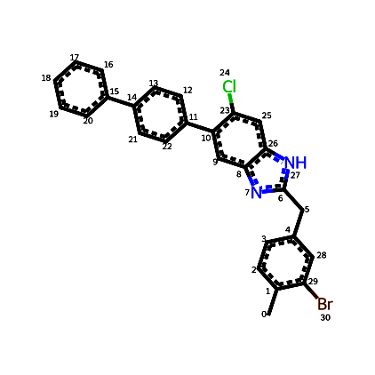 Cc1ccc(Cc2nc3cc(-c4ccc(-c5ccccc5)cc4)c(Cl)cc3[nH]2)cc1Br